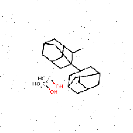 CC1C2CC3CC(C2)CC1(C12CC4CC(CC(C4)C1)C2)C3.O=C(O)O.O=C(O)O